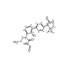 CCCC(C(=O)NC=O)c1cccc(-c2ccc(N3C(=O)OCC34CC4)cc2)c1Cl